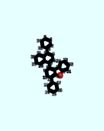 c1ccc(-c2ccc(-c3ccc(-c4ccccc4)c4oc5ccccc5c34)c3ccccc23)cc1